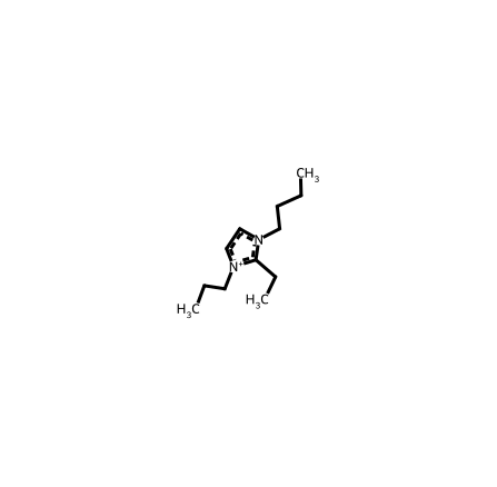 CCCCn1cc[n+](CCC)c1CC